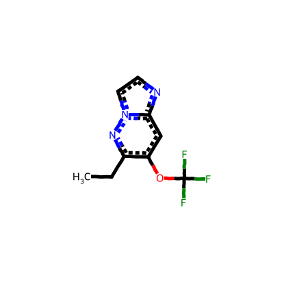 CCc1nn2ccnc2cc1OC(F)(F)F